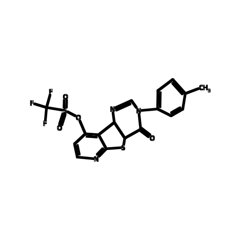 Cc1ccc(N2C=NC3c4c(OS(=O)(=O)C(F)(F)F)ccnc4SC3C2=O)cc1